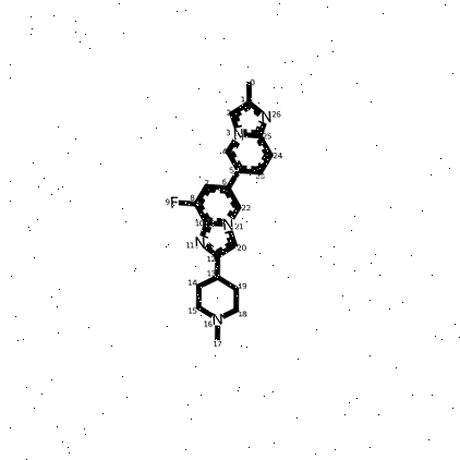 Cc1cn2cc(-c3cc(F)c4nc(C5CCN(C)CC5)cn4c3)ccc2n1